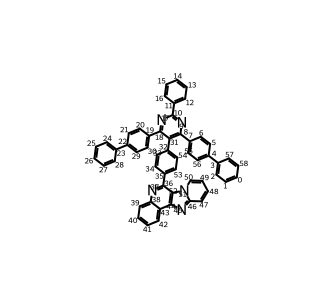 c1ccc(-c2ccc(-c3nc(-c4ccccc4)nc(-c4ccc(-c5ccccc5)cc4)c3-c3ccc(-c4nc5ccccc5c5nc6ccccn6c45)cc3)cc2)cc1